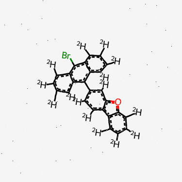 [2H]c1c([2H])c([2H])c2c(oc3c([2H])c(-c4c5c([2H])c([2H])c([2H])c([2H])c5c(Br)c5c([2H])c([2H])c([2H])c([2H])c45)c([2H])c([2H])c32)c1[2H]